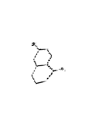 BC1CCCC2CC(N=O)CCC12